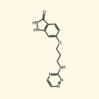 O=c1[nH][nH]c2cc(OCCCNc3nccnn3)ccc12